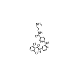 NCCCNC(=O)c1ccc(Nc2cc(NC(=O)c3c(Cl)cccc3Cl)ccn2)nc1